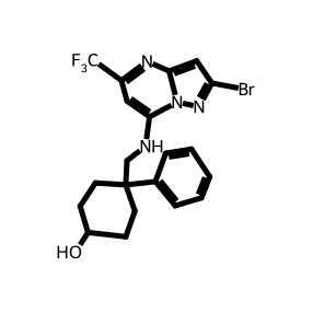 OC1CCC(CNc2cc(C(F)(F)F)nc3cc(Br)nn23)(c2ccccc2)CC1